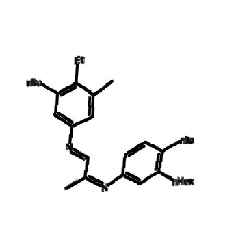 CCCCCCc1cc(N=C(C)C=Nc2cc(C)c(CC)c(CCCC)c2)ccc1CCCC